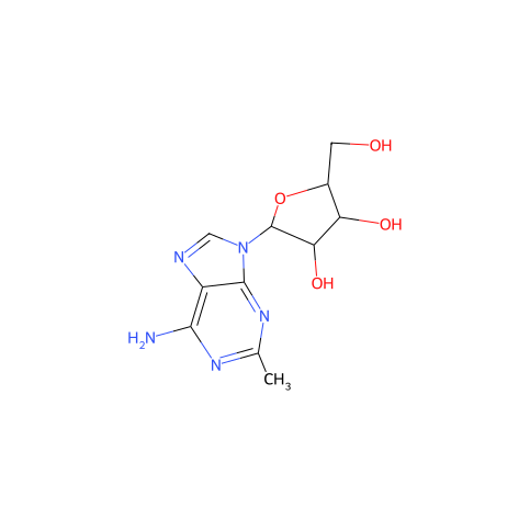 Cc1nc(N)c2ncn(C3OC(CO)C(O)C3O)c2n1